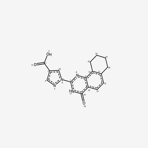 O=C(O)c1cnn(-c2nc3c4c(ccc3c(=O)[nH]2)CCCC4)c1